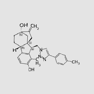 C=C1C[C@]23C[C@@]1(O)CC[C@H]2c1ccc(O)c(C)c1[C@@H]3Cn1cc(-c2ccc(C)cc2)nn1